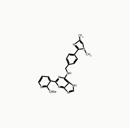 COc1ncccc1-c1nc(NCc2ccc(-c3nc(C(F)(F)F)cn3C)cc2)c2[nH]cnc2n1